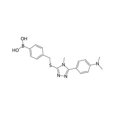 CN(C)c1ccc(-c2nnc(SCc3ccc(B(O)O)cc3)n2C)cc1